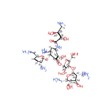 NC[C@@H]1O[C@H](O[C@H]2[C@@H](O)[C@H](O[C@@H]3[C@@H](O)[C@H](NC(=O)[C@@H](O)[C@@H](O)CN)C[C@H](N)[C@H]3O[C@H]3O[C@H](CN)C=C[C@H]3N)O[C@@H]2CO)[C@H](N)[C@@H](O)[C@@H]1O